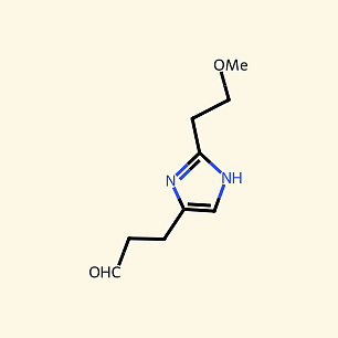 COCCc1nc(CCC=O)c[nH]1